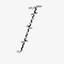 CN[C@@H](CCC(=O)NCCOCCOCC(=O)NCCOCCOCC(=O)NCCCCCN)C(=O)O